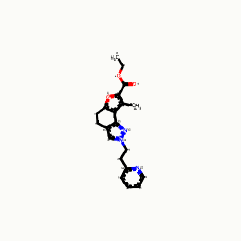 CCOC(=O)c1oc2c(c1C)-c1nn(CCc3ccccn3)cc1CC2